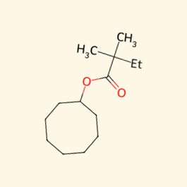 CCC(C)(C)C(=O)OC1CCCCCCC1